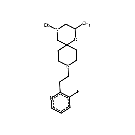 CCN1CC(C)OC2(CCN(CCc3ncccc3F)CC2)C1